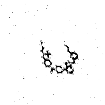 CCCc1cccc(Cn2ncc3c(N4CCN(C(=O)N5CCC(CN(CCOC)C(C)(C)C)CC5)CC4)ncnc32)n1